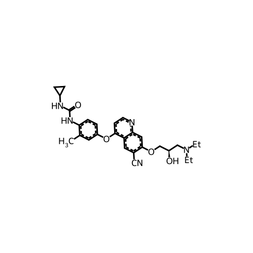 CCN(CC)C[C@@H](O)COc1cc2nccc(Oc3ccc(NC(=O)NC4CC4)c(C)c3)c2cc1C#N